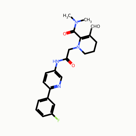 CN(C)C(=O)C1=C(C=O)CCCN1CC(=O)Nc1ccc(-c2cccc(F)c2)nc1